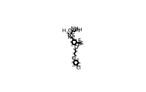 C[C@](N)(CO)c1nnc(-c2ccc(OCCCCOc3ccc(Cl)cc3)c(C(F)(F)F)c2)s1